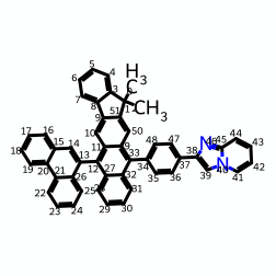 CC1(C)c2ccccc2-c2cc3c(-c4cc5ccccc5c5ccccc45)c4ccccc4c(-c4ccc(-c5cn6ccccc6n5)cc4)c3cc21